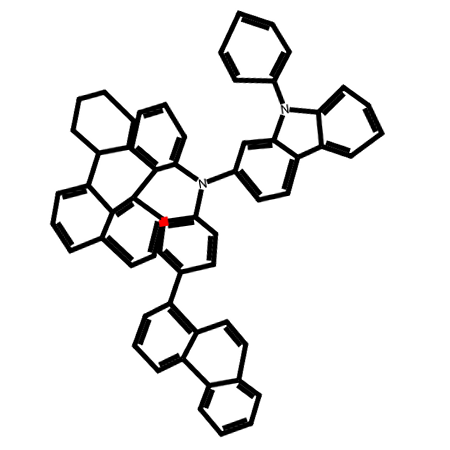 c1ccc(-n2c3ccccc3c3ccc(N(c4ccc(-c5cccc6c5ccc5ccccc56)cc4)c4ccccc4-c4cccc5cccc(C6CCCCC6)c45)cc32)cc1